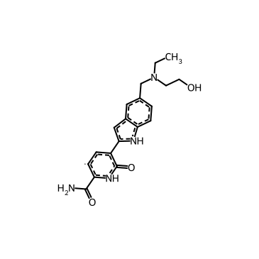 CCN(CCO)Cc1ccc2[nH]c(-c3c[c]c(C(N)=O)[nH]c3=O)cc2c1